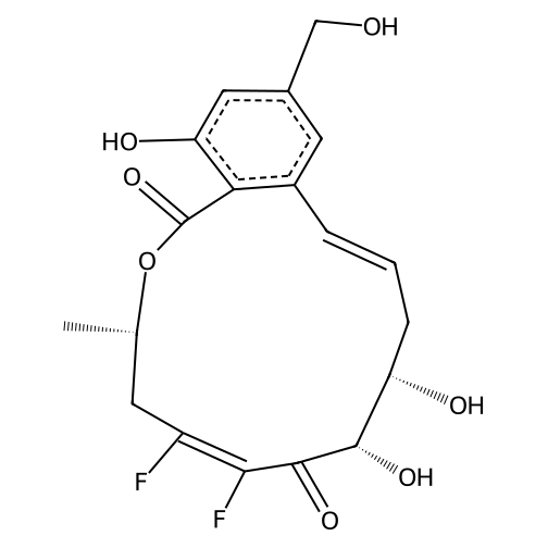 C[C@H]1C/C(F)=C(/F)C(=O)[C@@H](O)[C@@H](O)C/C=C/c2cc(CO)cc(O)c2C(=O)O1